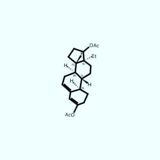 CC[C@]12CC[C@H]3[C@@H](CC=C4C=C(OC(C)=O)CC[C@@H]43)[C@@H]1CCC2OC(C)=O